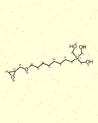 OC[Si](CO)(CO)CCCCCCCCOCC1CO1